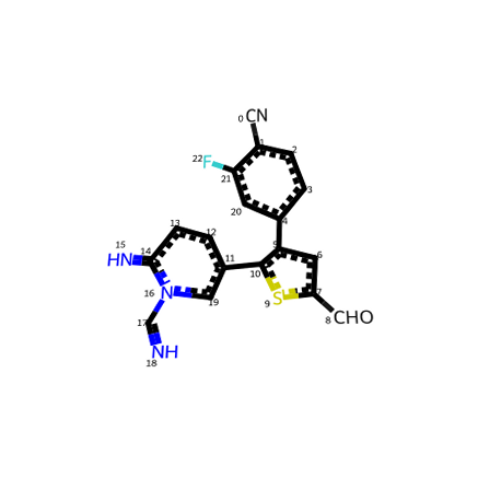 N#Cc1ccc(-c2cc(C=O)sc2-c2ccc(=N)n(C=N)c2)cc1F